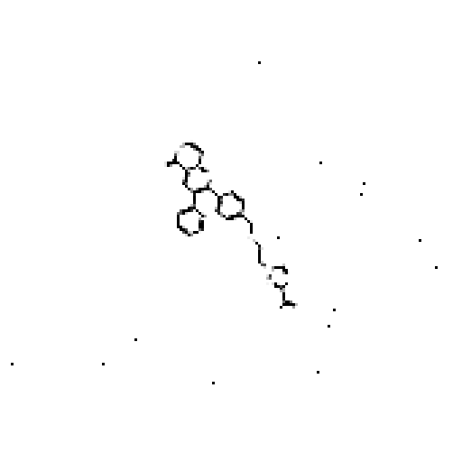 NC(=O)c1ncn(CCNCc2ccc(-c3nc4cc[nH]c(=O)c4cc3-c3ccccc3)cc2)n1